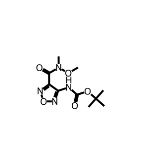 CON(C)C(=O)c1nonc1NC(=O)OC(C)(C)C